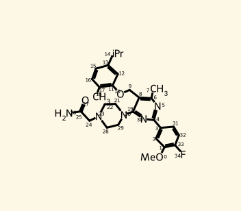 COc1cc(-c2nc(C)c(COc3cc(C(C)C)ccc3C)c(N3CCN(CC(N)=O)CC3)n2)ccc1F